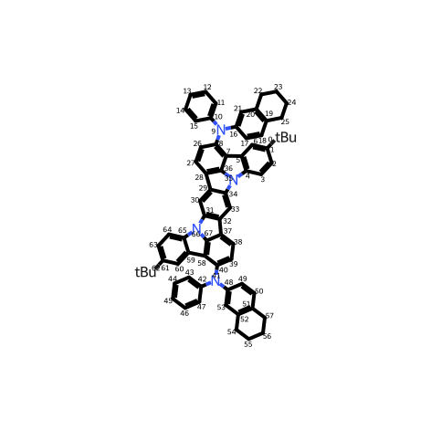 CC(C)(C)c1ccc2c(c1)c1c(N(c3ccccc3)c3ccc4c(c3)CCCC4)ccc3c4cc5c(cc4n2c31)c1ccc(N(c2ccccc2)c2ccc3c(c2)CCCC3)c2c3cc(C(C)(C)C)ccc3n5c12